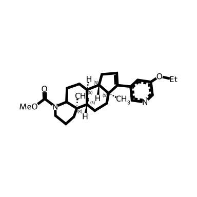 CCOc1cncc(C2=CC[C@H]3[C@@H]4CCC5N(C(=O)OC)CCC[C@]5(C)[C@H]4CC[C@]23C)c1